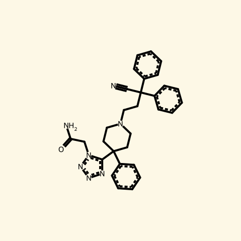 N#CC(CCN1CCC(c2ccccc2)(c2nnnn2CC(N)=O)CC1)(c1ccccc1)c1ccccc1